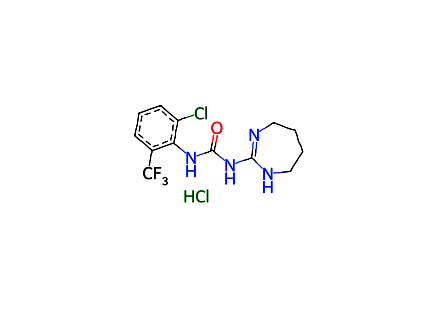 Cl.O=C(NC1=NCCCCN1)Nc1c(Cl)cccc1C(F)(F)F